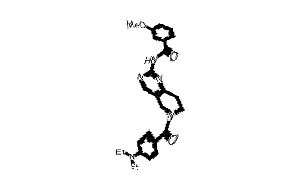 CCN(CC)c1ccc(C(=O)N2CCc3nc(NC(=O)c4cccc(OC)c4)ncc3C2)cc1